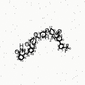 CC(F)(F)c1cccc(-c2cnc(C(=O)N3CCC(OC4CCN(CC(=O)N5CCN(C(=O)c6cc(Cc7n[nH]c(=O)c8ccccc78)ccc6F)CC5)CC4)CC3)c(N)c2)c1